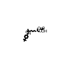 Cc1oc(-c2ccc(C(C)(C)C)cc2)nc1CCCC[C@H]1CO[C@@](C)(C(=O)O)OC1